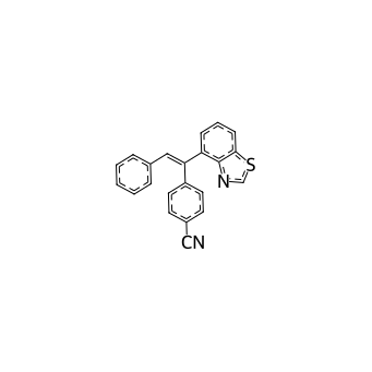 N#Cc1ccc(C(=Cc2ccccc2)c2cccc3scnc23)cc1